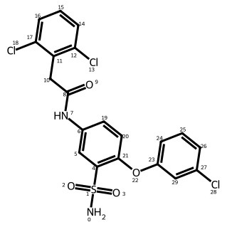 NS(=O)(=O)c1cc(NC(=O)Cc2c(Cl)cccc2Cl)ccc1Oc1cccc(Cl)c1